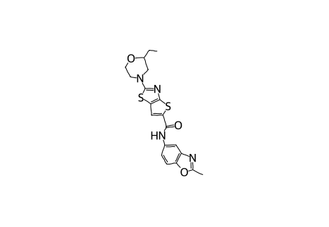 CCC1CN(c2nc3sc(C(=O)Nc4ccc5oc(C)nc5c4)cc3s2)CCO1